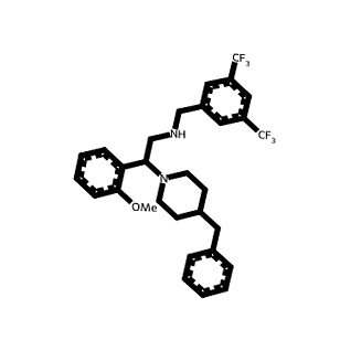 COc1ccccc1C(CNCc1cc(C(F)(F)F)cc(C(F)(F)F)c1)N1CCC(Cc2ccccc2)CC1